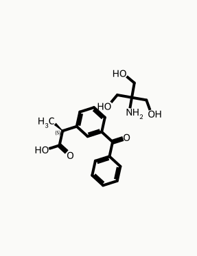 C[C@H](C(=O)O)c1cccc(C(=O)c2ccccc2)c1.NC(CO)(CO)CO